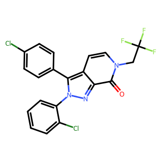 O=c1c2nn(-c3ccccc3Cl)c(-c3ccc(Cl)cc3)c2ccn1CC(F)(F)F